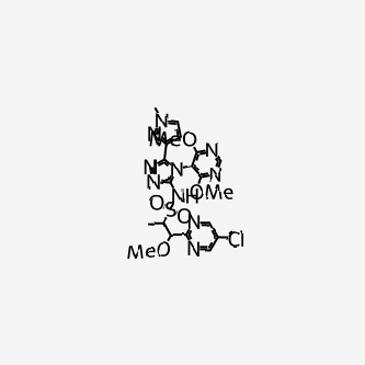 COc1ncnc(OC)c1-n1c(NS(=O)(=O)C(C)C(OC)c2ncc(Cl)cn2)nnc1-c1ccn(C)n1